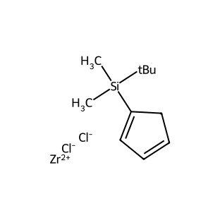 CC(C)(C)[Si](C)(C)C1=CC=CC1.[Cl-].[Cl-].[Zr+2]